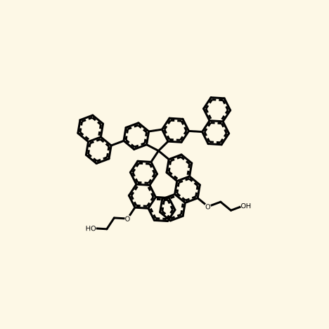 OCCOc1cc2ccc(C3(c4ccc5cc(OCCO)c6ccccc6c5c4)c4cc(-c5cccc6ccccc56)ccc4-c4ccc(-c5cccc6ccccc56)cc43)cc2c2ccccc12